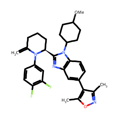 C=C1CCC[C@@H](c2nc3cc(-c4c(C)noc4C)ccc3n2C2CCC(OC)CC2)N1c1ccc(F)c(F)c1